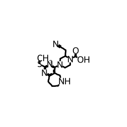 CSc1nc2c(c(N3CCN(C(=O)O)C(CC#N)C3)n1)CNCCC2